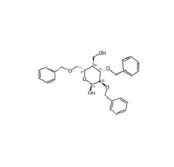 OC[C@H]1[C@H](OCc2ccccc2)[C@@H](OCc2ccccc2)[C@@H](O)O[C@@H]1COCc1ccccc1